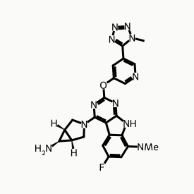 CNc1cc(F)cc2c1[nH]c1nc(Oc3cncc(-c4nnnn4C)c3)nc(N3C[C@@H]4[C@@H](N)[C@@H]4C3)c12